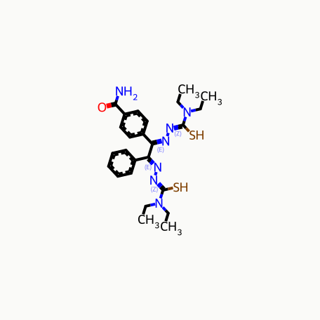 CCN(CC)/C(S)=N/N=C(/C(=N/N=C(\S)N(CC)CC)c1ccc(C(N)=O)cc1)c1ccccc1